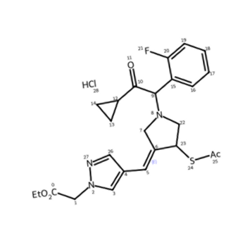 CCOC(=O)Cn1cc(/C=C2\CN(C(C(=O)C3CC3)c3ccccc3F)CC2SC(C)=O)cn1.Cl